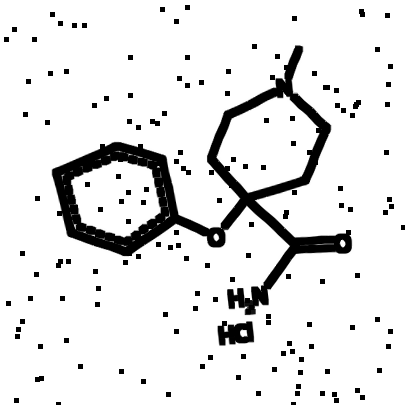 CN1CCC(Oc2ccccc2)(C(N)=O)CC1.Cl